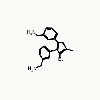 CCC1=C(C)CC(c2cccc(CN)c2)=C1c1cccc(CN)c1